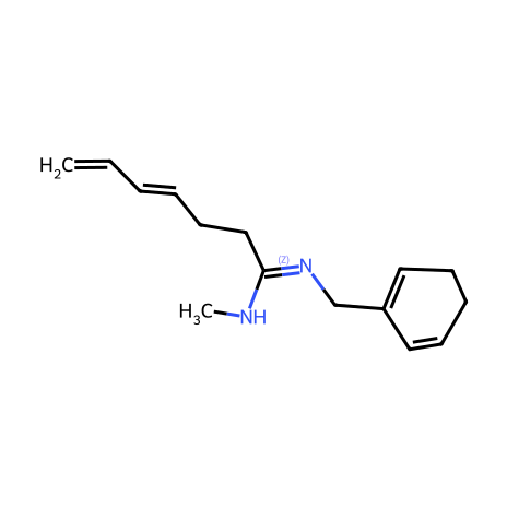 C=CC=CCC/C(=N/CC1=CCCC=C1)NC